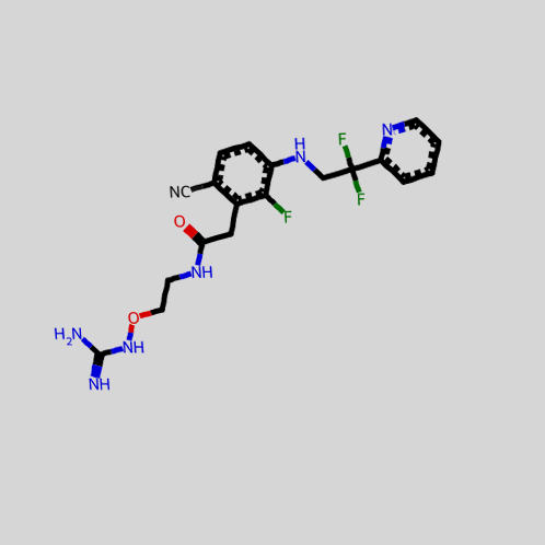 N#Cc1ccc(NCC(F)(F)c2ccccn2)c(F)c1CC(=O)NCCONC(=N)N